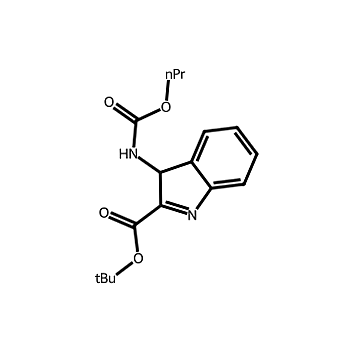 CCCOC(=O)NC1C(C(=O)OC(C)(C)C)=Nc2ccccc21